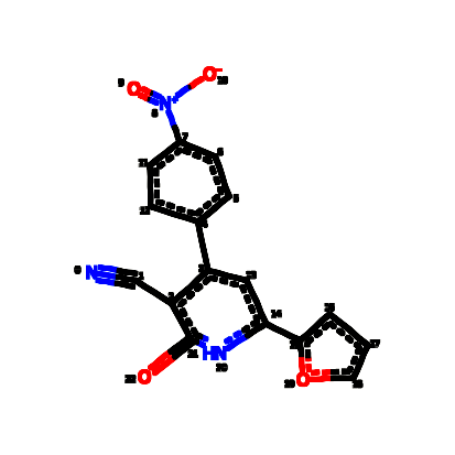 N#Cc1c(-c2ccc([N+](=O)[O-])cc2)cc(-c2ccco2)[nH]c1=O